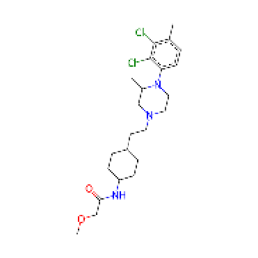 COCC(=O)NC1CCC(CCN2CCN(c3ccc(C)c(Cl)c3Cl)C(C)C2)CC1